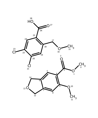 COC(=O)c1cc2c(cc1OC)COC2.COCc1cc(Cl)c(Cl)cc1C(=O)O